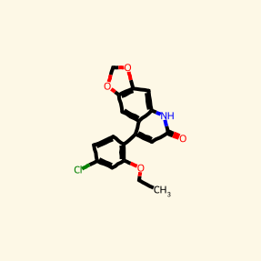 CCOc1cc(Cl)ccc1-c1cc(=O)[nH]c2cc3c(cc12)OCO3